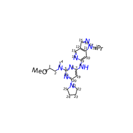 COCCN(C)c1nc(Nc2cc3c(cn2)cnn3C(C)C)cc(N2CCCC2)n1